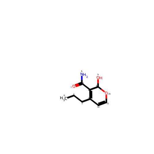 CCCC1=C(C(N)=O)C(O)OC=C1